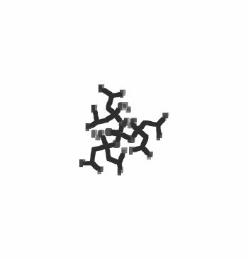 O=P(OC(CC(F)F)(CC(F)F)C(F)(F)F)(OC(CC(F)F)(CC(F)F)C(F)(F)F)OC(CC(F)F)(CC(F)F)C(F)(F)F